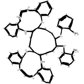 Nc1ccccc1OC1CCC2Oc3ccccc3N=C=Nc3ccccc3OC2CCC2Oc3ccccc3N=C=Nc3ccccc3OC2CCC1Oc1ccccc1N